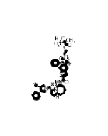 CC(C)(C)C(=O)SCCOP(=O)(Oc1ccccc1)C(F)(F)c1ccc2sc(C(=O)N[C@H]3CCCC[C@H]4CC[C@@H](C(=O)N5C[C@H](c6ccccc6)[C@@H](C#N)C5)N4C3=O)cc2c1